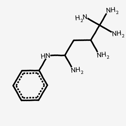 NC(CC(N)C(N)(N)N)Nc1ccccc1